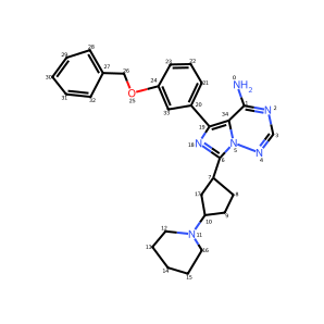 Nc1ncnn2c(C3CCC(N4CCCCC4)C3)nc(-c3cccc(OCc4ccccc4)c3)c12